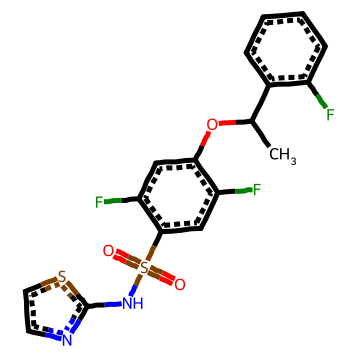 CC(Oc1cc(F)c(S(=O)(=O)Nc2nccs2)cc1F)c1ccccc1F